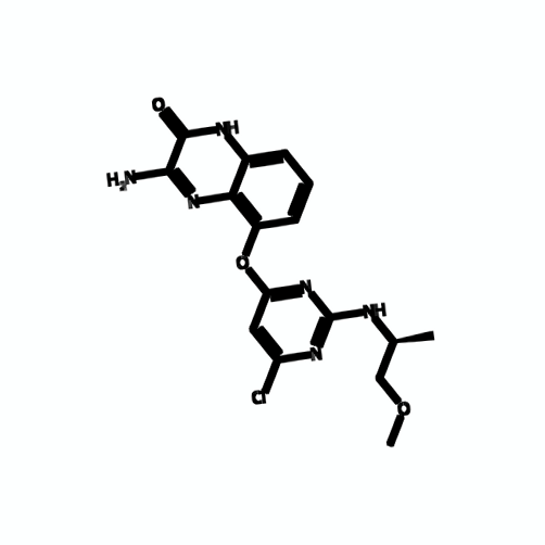 COC[C@H](C)Nc1nc(Cl)cc(Oc2cccc3[nH]c(=O)c(N)nc23)n1